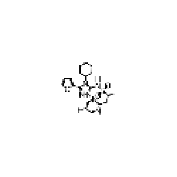 CC(Cc1ncc(F)cn1)S(=O)(=O)Nc1nnc(-c2ccco2)n1C1CCCCC1